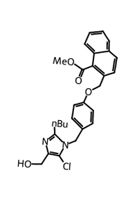 CCCCc1nc(CO)c(Cl)n1Cc1ccc(OCc2ccc3ccccc3c2C(=O)OC)cc1